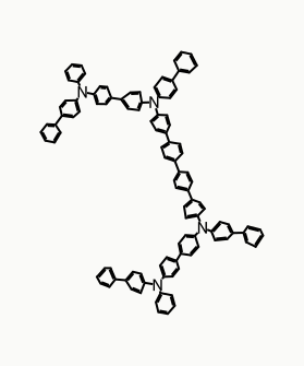 c1ccc(-c2ccc(N(c3ccccc3)c3ccc(-c4ccc(N(c5ccc(-c6ccccc6)cc5)c5ccc(-c6ccc(-c7ccc(-c8ccc(N(c9ccc(-c%10ccccc%10)cc9)c9ccc(-c%10ccc(N(c%11ccccc%11)c%11ccc(-c%12ccccc%12)cc%11)cc%10)cc9)cc8)cc7)cc6)cc5)cc4)cc3)cc2)cc1